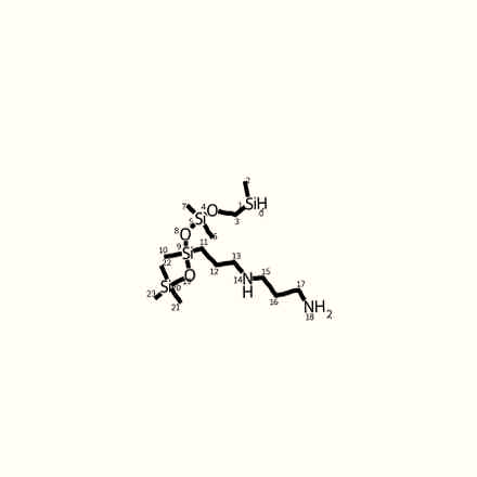 C[SiH](C)CO[Si](C)(C)O[Si](C)(CCCNCCCN)O[Si](C)(C)C